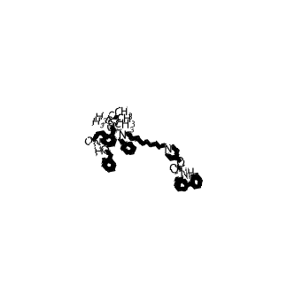 CC(C)(C)[Si](C)(C)O[C@H](CN(CCCCCCCCCN1CCC(OC(=O)Nc2ccccc2-c2ccccc2)CC1)Cc1ccccc1)c1ccc(OCc2ccccc2)c2[nH]c(=O)ccc12